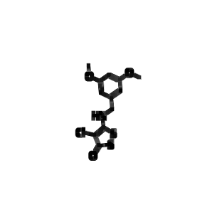 COc1cc(CNc2ssc(=O)c2Cl)cc(OC)c1